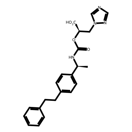 C[C@H](NC(=O)O[C@H](Cn1cncn1)C(=O)O)c1ccc(CCc2ccccc2)cc1